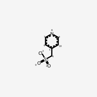 O=S(=O)(Cl)Cc1ccncc1